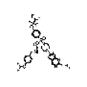 Cc1ncc2sc(N3CCN(S(=O)(=O)c4ccc(OC(F)(F)C(F)F)cc4)[C@@H](C(=O)NCc4ccc(OC(F)F)cc4)C3)nc2n1